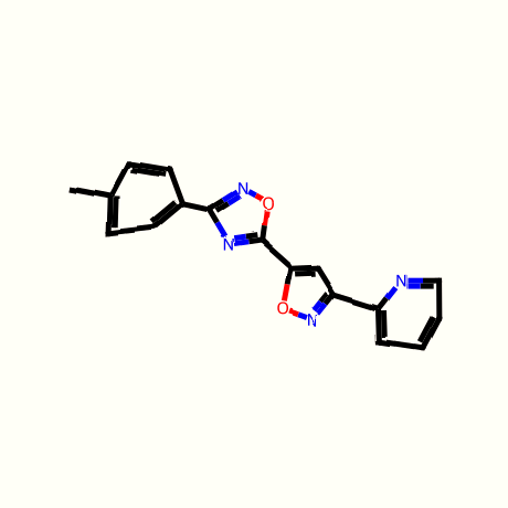 Cc1ccc(-c2noc(-c3cc(-c4ccccn4)no3)n2)cc1